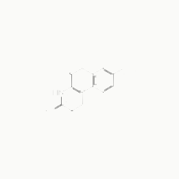 Cc1ccc2c(c1)CCC1=C2CCC(=O)N1